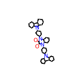 O=c1c(=O)n(-c2ccc(-n3c4ccccc4c4ccccc43)cc2)c2ccccc2n1-c1ccc(-n2c3ccccc3c3ccccc32)cc1